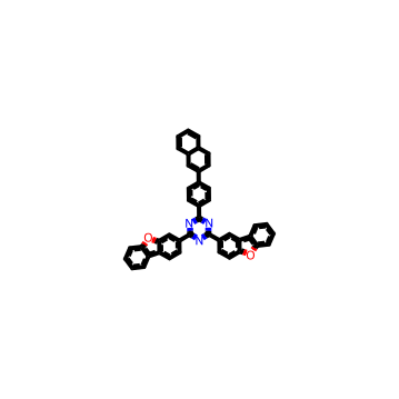 C1=CC2C=CC(c3ccc(-c4nc(-c5ccc6c(c5)oc5ccccc56)nc(-c5ccc6oc7ccccc7c6c5)n4)cc3)=CC2C=C1